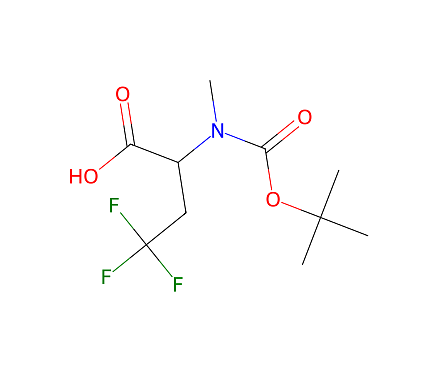 CN(C(=O)OC(C)(C)C)C(CC(F)(F)F)C(=O)O